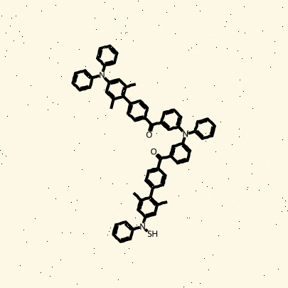 Cc1cc(N(S)c2ccccc2)cc(C)c1-c1ccc(C(=O)c2cccc(N(c3ccccc3)c3cccc(C(=O)c4ccc(-c5c(C)cc(N(c6ccccc6)c6ccccc6)cc5C)cc4)c3)c2)cc1